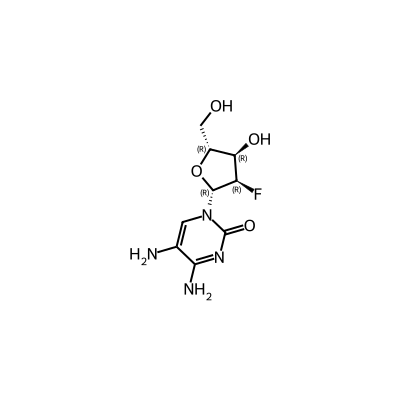 Nc1cn([C@@H]2O[C@H](CO)[C@@H](O)[C@H]2F)c(=O)nc1N